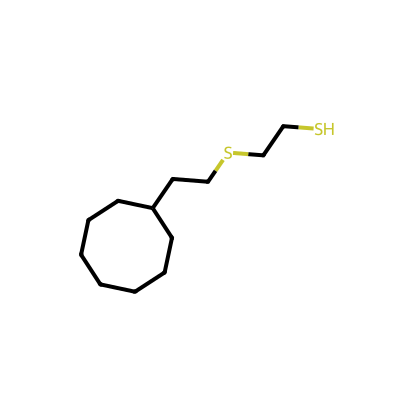 SCCSCCC1CCCCCCC1